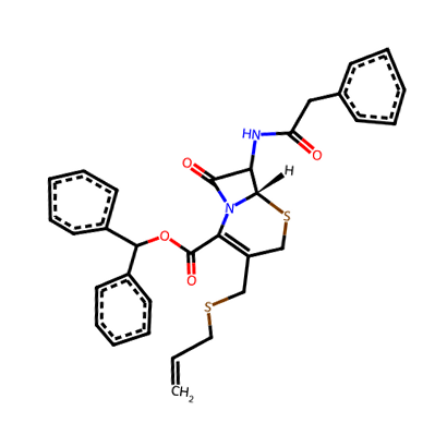 C=CCSCC1=C(C(=O)OC(c2ccccc2)c2ccccc2)N2C(=O)C(NC(=O)Cc3ccccc3)[C@@H]2SC1